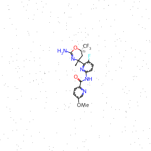 COc1ccc(C(=O)Nc2ccc(F)c([C@@]3(C)C[C@@H](C(F)(F)F)OC(N)=N3)n2)nc1